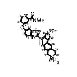 CNC(=O)c1cc(Oc2ccc(NC(=O)Nc3cn(C(C)C)nc3-c3ccc4c(c3)CCN(C)C4)c(F)c2)ccn1